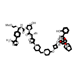 COCC[C@H](NC(=O)[C@@H]1C[C@@H](O)CN1C(=O)[C@@H](c1cc(N2CCC(CN3CCC(O[C@H]4C[C@H](Oc5cc(N6C7CCC6CN(c6cc(-c8ccccc8O)nnc6N)C7)ccn5)C4)CC3)CC2)no1)C(C)C)c1ccc(-c2scnc2C)cc1